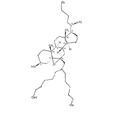 CC(C)CCC[C@@H](C)[C@H]1CC[C@H]2[C@@H]3C[C@]4(CN(CCCCCO)CCCCCO)O[C@]45C[C@@H](O)CC[C@]5(C)[C@H]3CC[C@]12C